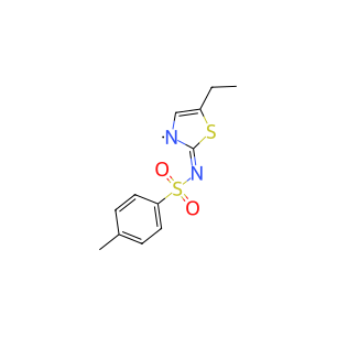 CCC1=C[N]C(=NS(=O)(=O)c2ccc(C)cc2)S1